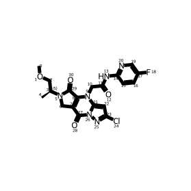 COC[C@H](C)N1Cc2c(n(CC(=O)Nc3ccc(F)cn3)c3cc(Cl)nn3c2=O)C1=O